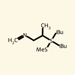 C=NCC(C)S(SC)(C(C)CC)C(C)CC